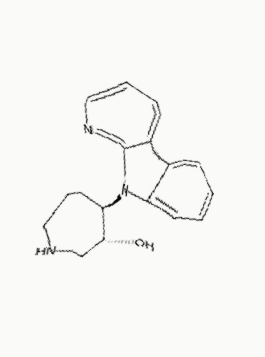 O[C@@H]1CNCC[C@H]1n1c2ccccc2c2cccnc21